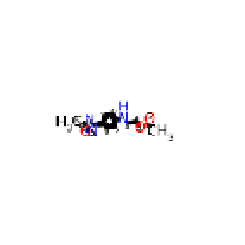 CC(=O)OCCNc1ccc(-c2noc(C)n2)cc1